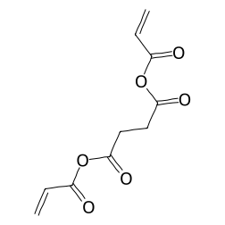 C=CC(=O)OC(=O)CCC(=O)OC(=O)C=C